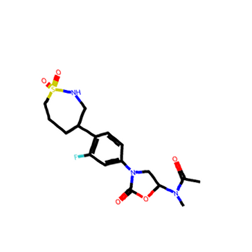 CC(=O)N(C)C1CN(c2ccc(C3CCCS(=O)(=O)NC3)c(F)c2)C(=O)O1